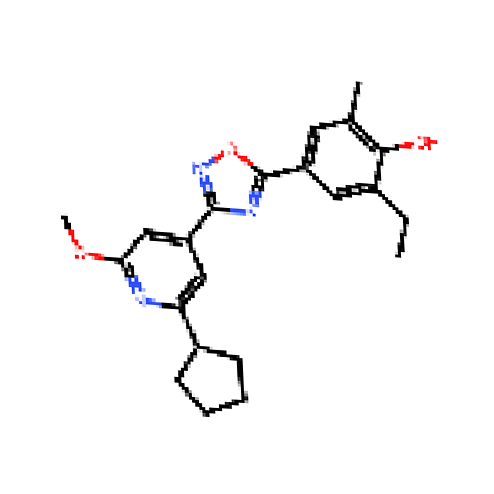 CCc1cc(-c2nc(-c3cc(OC)nc(C4CCCC4)c3)no2)cc(C)c1O